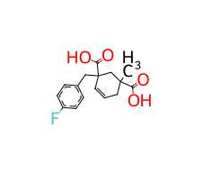 CC1(C(=O)O)CC=CC(Cc2ccc(F)cc2)(C(=O)O)C1